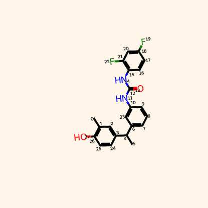 Cc1cc(C(C)c2cccc(NC(=O)Nc3ccc(F)cc3F)c2)ccc1O